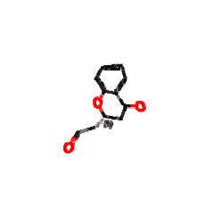 O=CC[C@H]1CC(=O)c2ccccc2O1